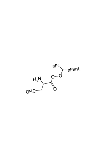 CCCCCC(CCC)OOC(=O)C(N)CC=O